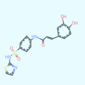 O=C(/C=C/c1ccc(O)c(O)c1)Nc1ccc(S(=O)(=O)Nc2nccs2)cc1